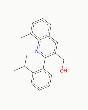 Cc1cccc2cc(CO)c(-c3ccccc3C(C)C)nc12